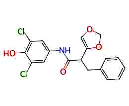 O=C(Nc1cc(Cl)c(O)c(Cl)c1)C(Cc1ccccc1)C1=COCO1